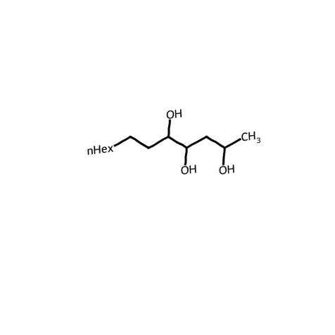 CCCCCCCCC(O)C(O)CC(C)O